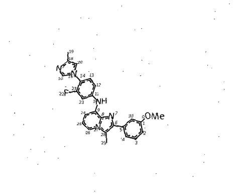 COc1cccc(-c2nc3c(Nc4ccc(-n5cnc(C)c5)c(F)c4)cccn3c2C)c1